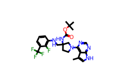 Cc1c[nH]c2ncnc(N3CCC(CNc4cccc(C(F)(F)F)c4F)(NC(=O)OC(C)(C)C)C3)c12